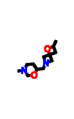 CC1CC2(CN(CC3CCN(C)CO3)C2)O1